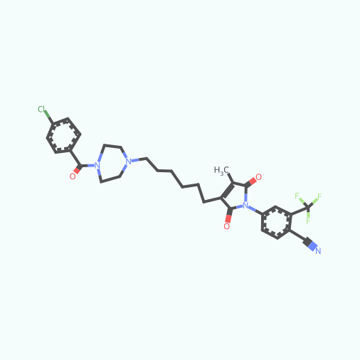 CC1=C(CCCCCCN2CCN(C(=O)c3ccc(Cl)cc3)CC2)C(=O)N(c2ccc(C#N)c(C(F)(F)F)c2)C1=O